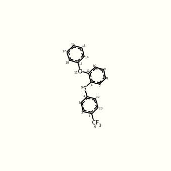 FC(F)(F)c1ccc(Sc2ccccc2Oc2ccccc2)cc1